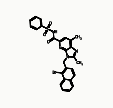 Cc1cc(C(=O)NS(=O)(=O)c2ccccc2)nc2c1nc(C)n2Cc1ccc2ccccc2c1Br